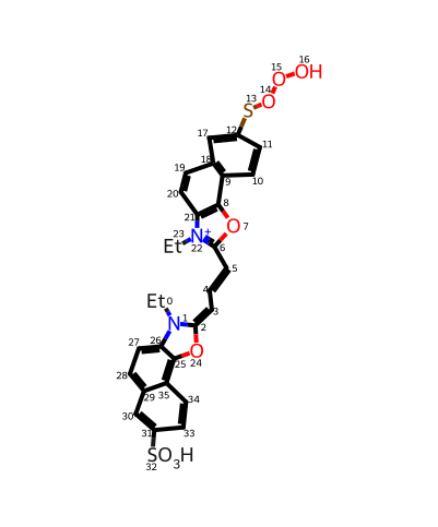 CCN1/C(=C\C=C\c2oc3c4ccc(SOOO)cc4ccc3[n+]2CC)Oc2c1ccc1cc(S(=O)(=O)O)ccc21